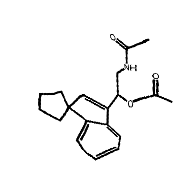 CC(=O)NCC(OC(C)=O)C1=CC2(CCCC2)c2ccccc21